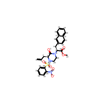 C=CC[C@H]1C(=O)N([C@@H](Cc2ccc3ccccc3c2)C(=O)OC)CCN1S(=O)(=O)c1ccccc1[N+](=O)[O-]